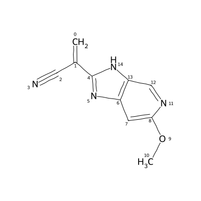 C=C(C#N)c1nc2cc(OC)ncc2[nH]1